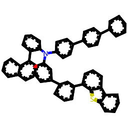 c1ccc(-c2ccc(-c3ccc(N(c4cccc(-c5cccc(-c6cccc7c6sc6ccccc67)c5)c4)c4ccccc4-c4cccc5ccccc45)cc3)cc2)cc1